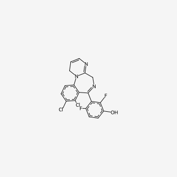 Oc1ccc(F)c(C2=NCC3=NC=CCN3c3ccc(Cl)c(Cl)c32)c1F